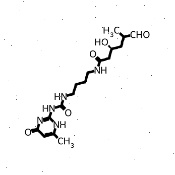 Cc1cc(=O)nc(NC(=O)NCCCCNC(=O)C[C@@H](O)CC(C)C=O)[nH]1